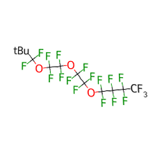 CC(C)(C)C(F)(F)OC(F)(F)C(F)(F)OC(F)(F)C(F)(F)OC(F)(F)C(F)(F)C(F)(F)C(F)(F)F